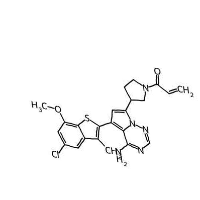 C=CC(=O)N1CCC(c2cc(-c3sc4c(OC)cc(Cl)cc4c3C)c3c(N)ncnn23)C1